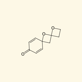 O=C1C=CC2(C=C1)CC1(CCO1)O2